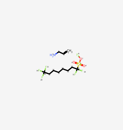 C=CCN.O=S(=O)(OF)C(F)(F)CCCCCCC(F)(F)F